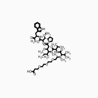 CCC(C)C(C(CC(=O)N1CCC[C@H]1C(OC)C(C)C(=O)NC(Cc1c[nH]c2ccccc12)C(N)=O)OC)N(C)C(=O)C(NC(=O)C(C(C)C)N(C)CCOCCOCCOCCC(=O)O)C(C)C